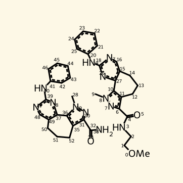 COCCNC(=O)c1nn(C)c2c1CCCc1cnc(Nc3ccccc3)nc1-2.Cn1nc(C(N)=O)c2c1-c1nc(Nc3ccccc3)ncc1CCC2